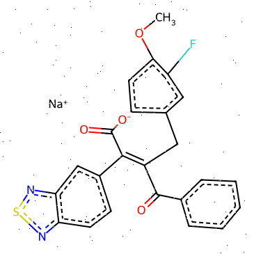 COc1ccc(C/C(C(=O)c2ccccc2)=C(\C(=O)[O-])c2ccc3nsnc3c2)cc1F.[Na+]